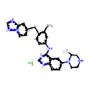 Cc1cc(Nc2ncnc3ccc(N4CCNCC4C)cc23)ccc1Cc1ccn2ncnc2c1.Cl